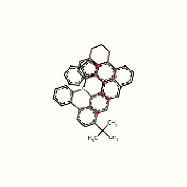 CC(C)(C)c1ccc(-c2ccccc2N(c2ccccc2-c2cccc3cccc(C4CCCCC4)c23)c2ccccc2-c2cccc3sc4ccccc4c23)cc1